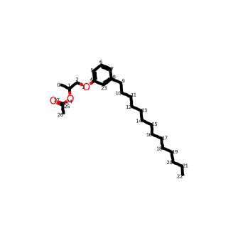 [CH2]C(COc1cccc(CCCCCCCCCCCCCC)c1)OC(C)=O